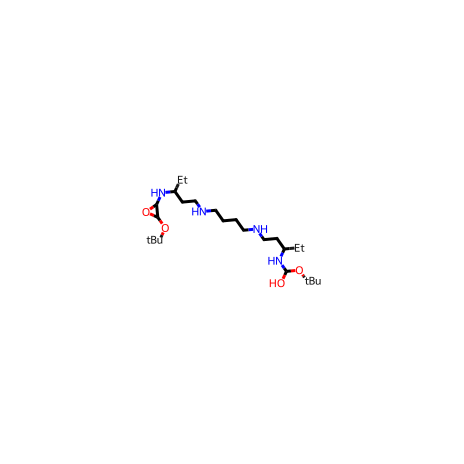 CCC(CCNCCCCNCCC(CC)NC1OC1OC(C)(C)C)NC(O)OC(C)(C)C